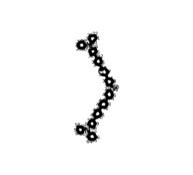 IN(c1ccc(-c2ccc(-c3ccc(-c4ccc(N(c5ccccc5)c5ccccc5)cc4)cc3)cc2)cc1)c1ccc(-c2ccc(-c3ccc(-c4ccc(N(c5ccccc5)c5ccccc5)cc4)cc3)cc2)cc1